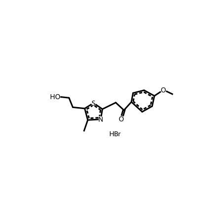 Br.COc1ccc(C(=O)Cc2nc(C)c(CCO)s2)cc1